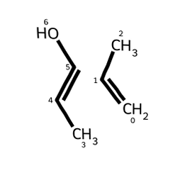 C=CC.CC=CO